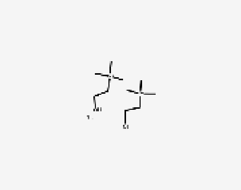 C[N+](C)(C)CCO.C[P+](C)(C)CCO.P